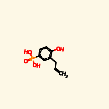 C=CCc1cc(P(=O)(O)O)ccc1O